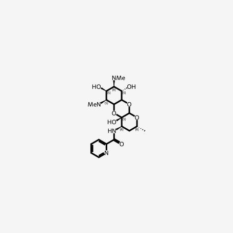 CN[C@@H]1[C@H](O)[C@H](NC)C2O[C@]3(O)C(OC2[C@H]1O)O[C@H](C)C[C@H]3NC(=O)c1ccccn1